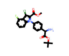 COC(=O)c1c(Cl)c2c(F)cccc2n1-c1ccc(C(N)C(=O)OC(C)(C)C)cc1